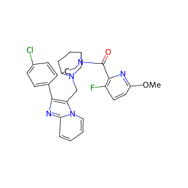 COc1ccc(F)c(C(=O)N2CCC3CCC2CN3Cc2c(-c3ccc(Cl)cc3)nc3ccccn23)n1